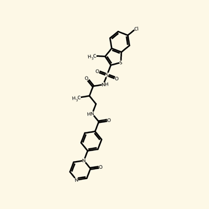 Cc1c(S(=O)(=O)NC(=O)C(C)CNC(=O)c2ccc(-n3ccncc3=O)cc2)sc2cc(Cl)ccc12